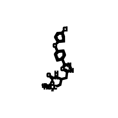 CC(C)(C)OC(=O)NC(CC(=O)O)Cc1nnc(-c2ccc(Oc3ccc(Cl)cc3)cc2)o1